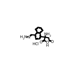 Cl.NN=Cc1ccc(C(N)(CC=O)C(=O)O)c2ccccc12